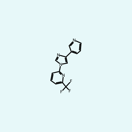 FC(F)(F)c1cccc(-n2cnc(-c3cccnc3)c2)n1